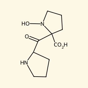 O=C(O)C1(C(=O)C2CCCN2)CCCN1O